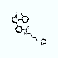 Cc1ccccc1-n1c(-c2cccc(C(=O)NCCCCn3cccn3)c2)csc1=O